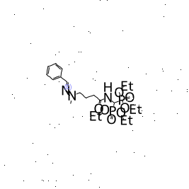 CCOP(=O)(OCC)C(NC(=O)CCCN(C)/N=C/c1ccccc1)P(=O)(OCC)OCC